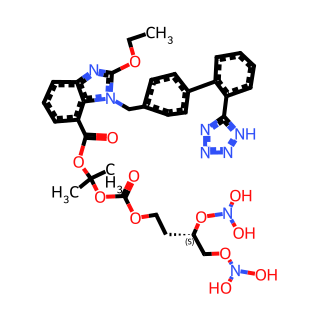 CCOc1nc2cccc(C(=O)OC(C)(C)OC(=O)OCC[C@@H](CON(O)O)ON(O)O)c2n1Cc1ccc(-c2ccccc2-c2nnn[nH]2)cc1